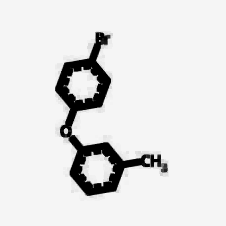 Cc1cccc(Oc2ccc(Br)cc2)c1